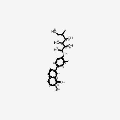 Cc1cc(-c2ccc3ccn(C(C)C)c(=O)c3c2)ccc1OC(O)C(O)C(O)C(O)C(C)CO